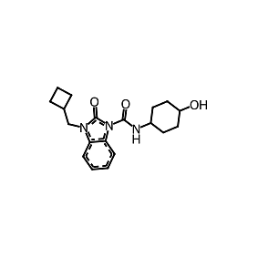 O=C(NC1CCC(O)CC1)n1c(=O)n(CC2CCC2)c2ccccc21